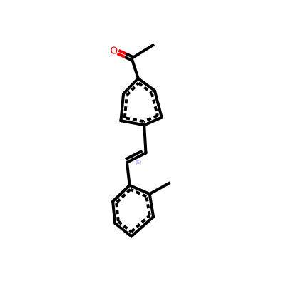 CC(=O)c1ccc(/C=C/c2ccccc2C)cc1